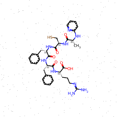 C[C@@H](Nc1ccccn1)C(=O)N[C@H](CS)C(=O)N[C@@H](Cc1ccccc1)C(=O)N[C@@H](Cc1ccccc1)C(=O)N[C@@H](CCCN=C(N)N)C(=O)O